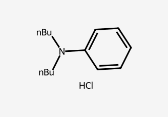 CCCCN(CCCC)c1ccccc1.Cl